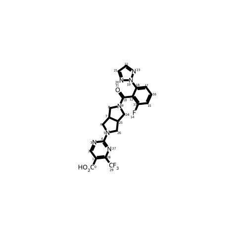 O=C(O)c1cnc(N2CC3CN(C(=O)c4c(F)cccc4-n4nccn4)CC3C2)nc1C(F)(F)F